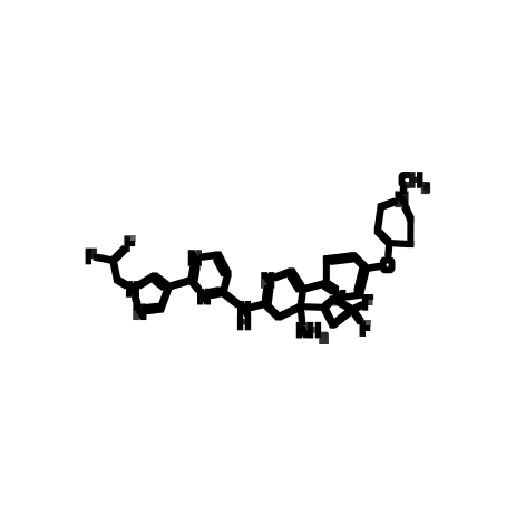 CN1CCC(Oc2ccc(C3=CN=C(Nc4ccnc(-c5cnn(CC(F)F)c5)n4)CC3(N)C3CC(F)(F)C3)nc2)CC1